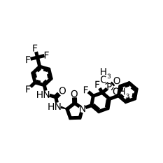 CP(C)(=O)C1(F)C(c2ccccc2)=CC=C(N2CC[C@@H](NC(=O)Nc3ccc(C(F)(F)F)cc3F)C2=O)C1F